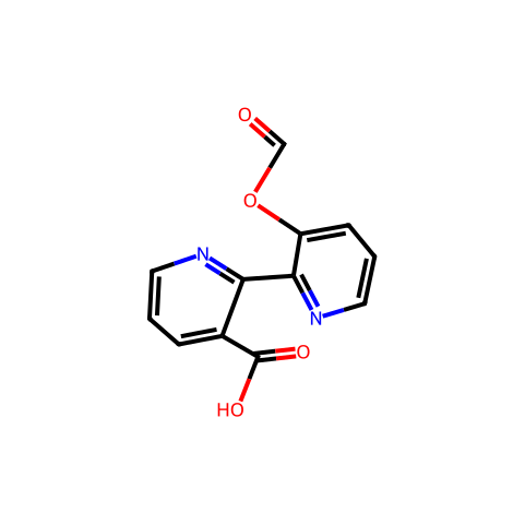 O=COc1cccnc1-c1ncccc1C(=O)O